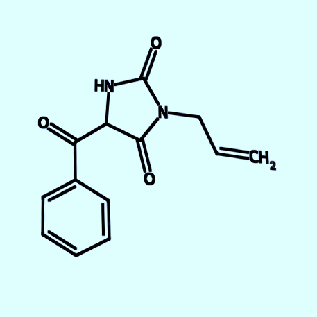 C=CCN1C(=O)NC(C(=O)c2ccccc2)C1=O